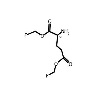 N[C@@H](CCC(=O)OCF)C(=O)OCF